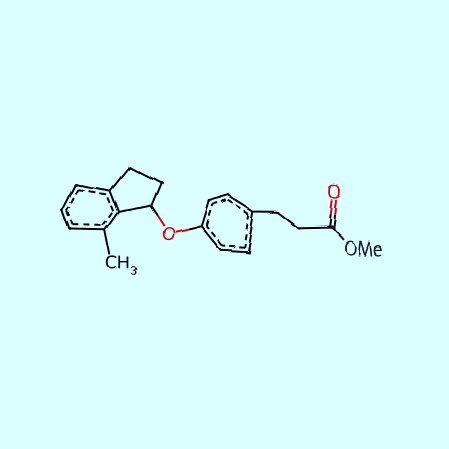 COC(=O)CCc1ccc(OC2CCc3cccc(C)c32)cc1